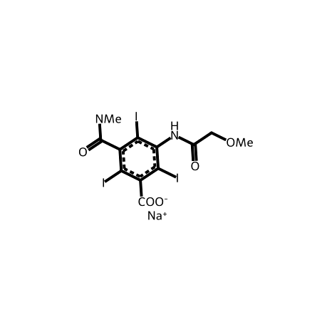 CNC(=O)c1c(I)c(NC(=O)COC)c(I)c(C(=O)[O-])c1I.[Na+]